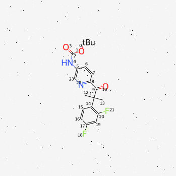 CC(C)(C)OC(=O)Nc1ccc(C(=O)C(C)(C)c2ccc(F)cc2F)nc1